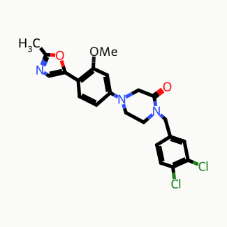 COc1cc(N2CCN(Cc3ccc(Cl)c(Cl)c3)C(=O)C2)ccc1-c1cnc(C)o1